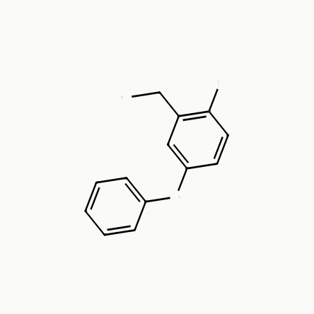 Fc1ccc(Oc2ccccc2)cc1CCl